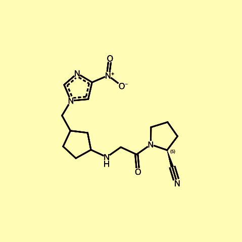 N#C[C@@H]1CCCN1C(=O)CNC1CCC(Cn2cnc([N+](=O)[O-])c2)C1